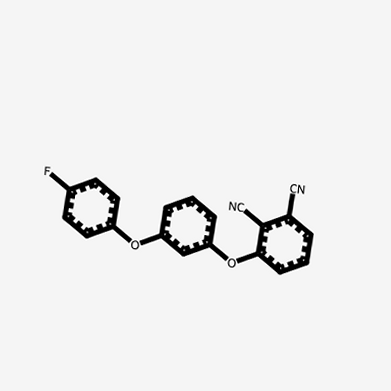 N#Cc1cccc(Oc2cccc(Oc3ccc(F)cc3)c2)c1C#N